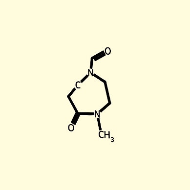 CN1CCN(C=O)CCC1=O